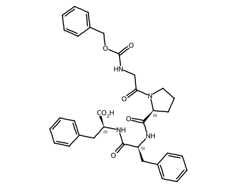 O=C(NCC(=O)N1CCC[C@H]1C(=O)N[C@@H](Cc1ccccc1)C(=O)N[C@@H](Cc1ccccc1)C(=O)O)OCc1ccccc1